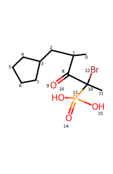 CC(CC1CCCC1)C(=O)C(C)(Br)P(=O)(O)O